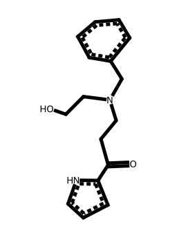 O=C(CCN(CCO)Cc1ccccc1)c1ccc[nH]1